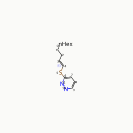 CCCCCCCC/C=C/Sc1cccnn1